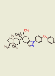 C[C@@H]1[C@@H]([C@@]2(C)Cc3cnn(-c4ccc(Oc5ccc(F)cc5)cc4)c3C[C@@H]2CO)CC[C@]2(C)[C@@H](C)CC[C@@H]12